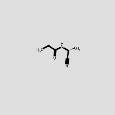 CCC(=O)N[C@H](C)C#N